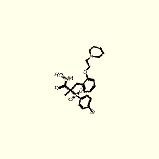 CC(Cc1ccccc1OCCN1CCCCC1)(C(=O)NO)S(=O)(=O)c1ccc(Br)cc1